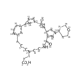 O=C(O)CCN1CCCc2cc(ccn2)-c2nc(cs2)C(=O)Nc2cn(C3CCOCC3)nc2C(=O)NCC1